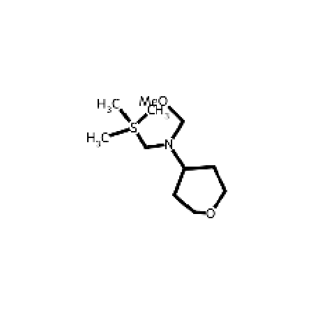 COCN(CS(C)(C)C)C1CCOCC1